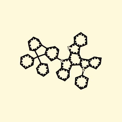 c1ccc(-n2c3ccccc3c3c4c5ccccc5sc4c4c(c5ccccc5n4-c4ccc5c(c4)C(c4ccccc4)(c4ccccc4)c4ccccc4-5)c32)cc1